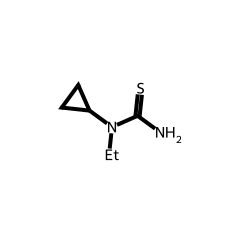 CCN(C(N)=S)C1CC1